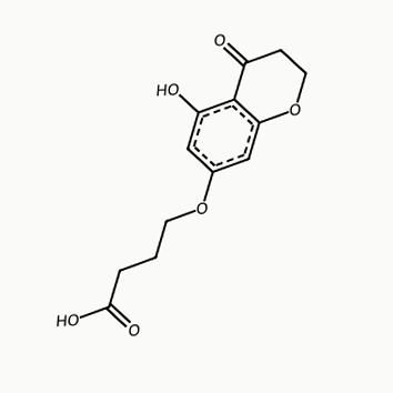 O=C(O)CCCOc1cc(O)c2c(c1)OCCC2=O